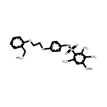 COc1cc(C)c(S(=O)(=O)Nc2ccc(OCCOc3ccccc3CC(=O)O)cc2)c(C)c1C